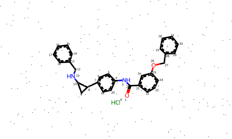 Cl.O=C(Nc1ccc(C2CC2NCc2ccccc2)cc1)c1cccc(OCc2ccccc2)c1